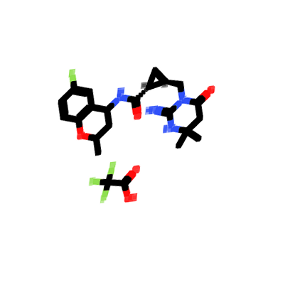 CC1CC(NC(=O)[C@@H]2C[C@H]2CN2C(=N)NC(C)(C)CC2=O)c2cc(F)ccc2O1.O=C(O)C(F)(F)F